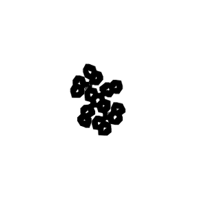 C1=Cc2cccc(N(c3ccc4c(-c5ccc6ccccc6c5)c5cc(N(c6cccc7ccccc67)c6cccc7ccccc67)ccc5c(-c5ccc6ccccc6c5)c4c3)c3cccc4ccccc34)c2CC1